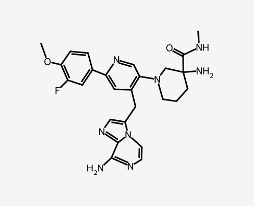 CNC(=O)C1(N)CCCN(c2cnc(-c3ccc(OC)c(F)c3)cc2Cc2cnc3c(N)nccn23)C1